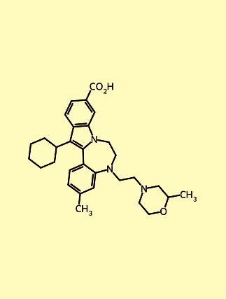 Cc1ccc2c(c1)N(CCN1CCOC(C)C1)CCn1c-2c(C2CCCCC2)c2ccc(C(=O)O)cc21